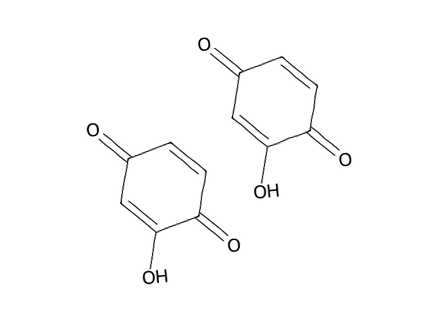 O=C1C=CC(=O)C(O)=C1.O=C1C=CC(=O)C(O)=C1